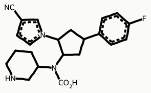 N#Cc1ccn(C2CC(c3ccc(F)cc3)CC2N(C(=O)O)C2CCCNC2)c1